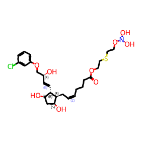 O=C(CCC/C=C\C[C@@H]1[C@@H](/C=C/[C@@H](O)COc2cccc(Cl)c2)[C@H](O)C[C@@H]1O)OCCSCCON(O)O